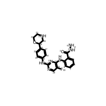 NNC(=O)c1ccccc1Nc1nc(Nc2ccc(C3CNCCO3)cc2)ncc1F